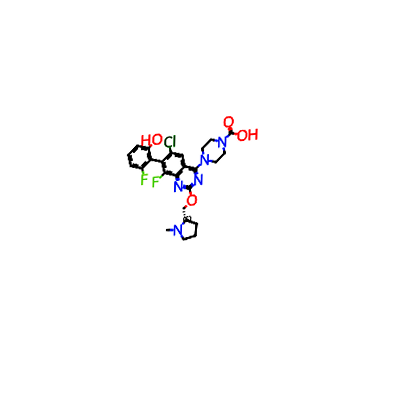 CN1CCC[C@H]1COc1nc(N2CCN(C(=O)O)CC2)c2cc(Cl)c(-c3c(O)cccc3F)c(F)c2n1